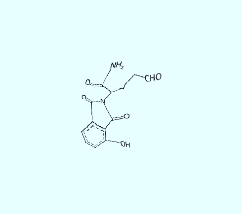 NC(=O)C(CCC=O)N1C(=O)c2cccc(O)c2C1=O